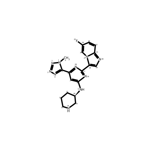 Cn1nnnc1-c1cc(N[C@@H]2CCCNC2)nc(-c2cnc3ccc(F)cn23)n1